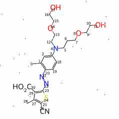 Cc1cc(N(CCCOCCO)CCOCCO)ccc1/N=N/c1sc(C#N)c(C)c1C(=O)O